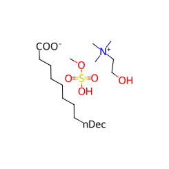 CCCCCCCCCCCCCCCCCC(=O)[O-].COS(=O)(=O)O.C[N+](C)(C)CCO